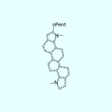 CCCCCc1cc2ccc3c4ccc5c(ccc6ccn(C)c65)c4ccc3c2n1C